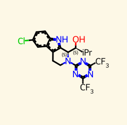 CC(C)[C@H](O)[C@@H]1c2[nH]c3ccc(Cl)cc3c2CCN1c1nc(C(F)(F)F)nc(C(F)(F)F)n1